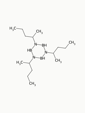 CCCC(C)N1BN(C(C)CCC)BN(C(C)CCC)B1